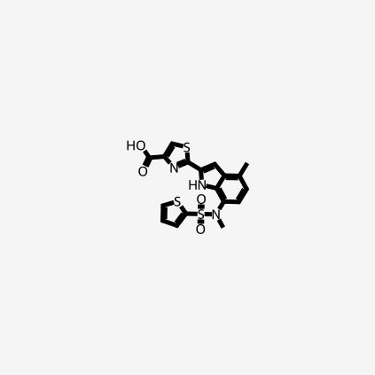 Cc1ccc(N(C)S(=O)(=O)c2cccs2)c2[nH]c(-c3nc(C(=O)O)cs3)cc12